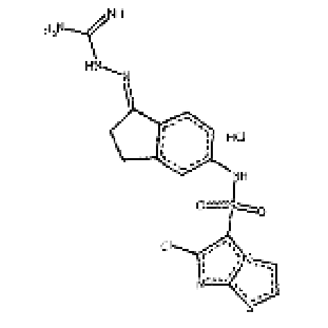 Cl.N=C(N)NN=C1CCc2cc(NS(=O)(=O)c3c(Cl)nc4sccn34)ccc21